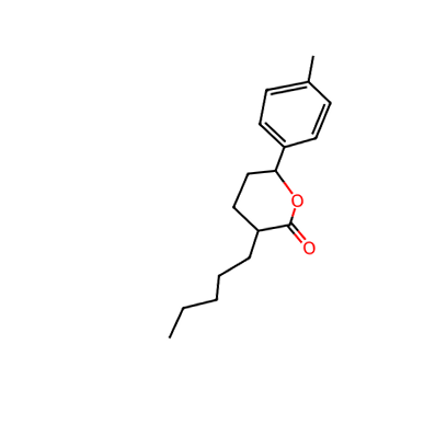 CCCCCC1CCC(c2ccc(C)cc2)OC1=O